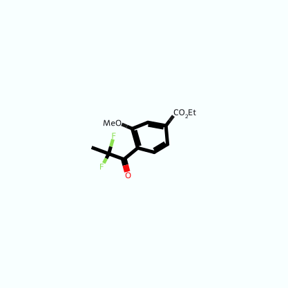 CCOC(=O)c1ccc(C(=O)C(C)(F)F)c(OC)c1